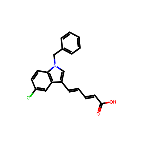 O=C(O)C=CC=Cc1cn(Cc2ccccc2)c2ccc(Cl)cc12